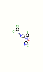 O=C(c1ccnc(Cl)c1)N1CC2(CCN(C/C=C/c3ccc(Cl)cc3Cl)CC2)c2cc(F)ccc21